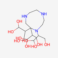 OCC(C(O)O)N1CCNCCNCC1(C(CO)C(O)O)C(CO)C(O)O